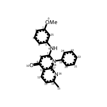 COc1cccc(Nc2cc(=O)c3ccc(C)nc3n2-c2ccccc2)c1